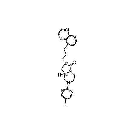 O=C1[C@@H](CCCc2cccc3nccnc23)C[C@H]2CN(c3ncc(F)cn3)CCN12